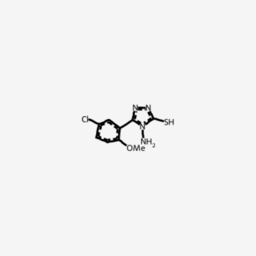 COc1ccc(Cl)cc1-c1nnc(S)n1N